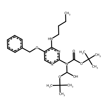 CCCCNc1nc(N(C(=O)OC(C)(C)C)C(O)OC(C)(C)C)ncc1OCc1ccccc1